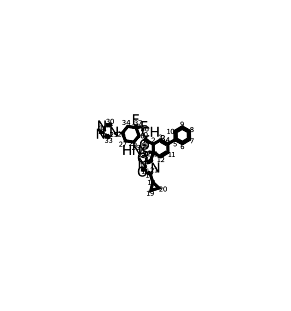 CCC1C=C(c2ccccc2)C=CC1(c1noc(C2CC2)n1)S(=O)(=O)N[C@@H]1C[C@H](n2cnnc2)CC(F)(F)C1